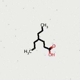 CCCC(CCC)CCC(=O)O